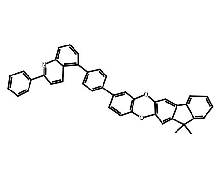 CC1(C)c2ccccc2-c2cc3c(cc21)Oc1ccc(-c2ccc(-c4cccc5nc(-c6ccccc6)ccc45)cc2)cc1O3